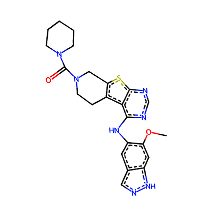 COc1cc2[nH]ncc2cc1Nc1ncnc2sc3c(c12)CCN(C(=O)N1CCCCC1)C3